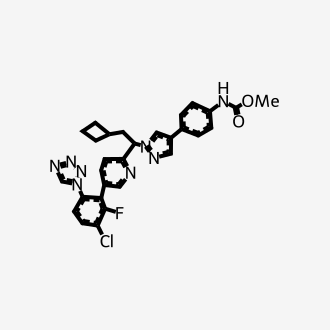 COC(=O)Nc1ccc(-c2cnn(C(CC3CCC3)c3ccc(-c4c(-n5cnnn5)ccc(Cl)c4F)cn3)c2)cc1